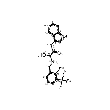 O=C(Nc1c[nH]c2ccncc12)C(O)NCc1cccc(C(F)(F)F)c1F